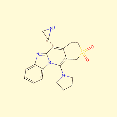 O=S1(=O)CCc2c(c(N3CCCC3)n3c(nc4ccccc43)c2[C@@H]2CN2)C1